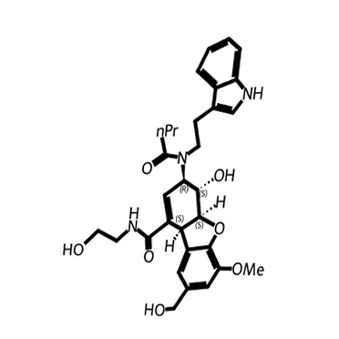 CCCC(=O)N(CCc1c[nH]c2ccccc12)[C@@H]1C=C(C(=O)NCCO)[C@@H]2c3cc(CO)cc(OC)c3O[C@@H]2[C@H]1O